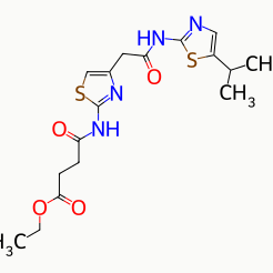 CCOC(=O)CCC(=O)Nc1nc(CC(=O)Nc2ncc(C(C)C)s2)cs1